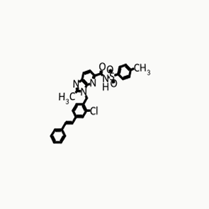 Cc1ccc(S(=O)(=O)NC(=O)c2ccc3nc(C)n(Cc4ccc(C=Cc5ccccc5)cc4Cl)c3n2)cc1